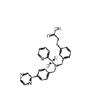 O=C(O)CCc1cccc(CN(Cc2ccc(-c3cnccn3)cc2)S(=O)(=O)c2ccccn2)c1